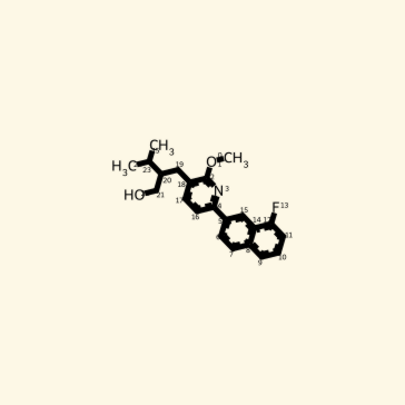 COc1nc(-c2ccc3cccc(F)c3c2)ccc1CC(CO)C(C)C